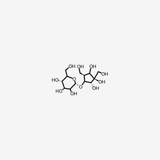 OCC1O[C@H](OC2[C@@H](CO)C(O)[C@](O)(CO)[C@@H]2O)C(O)[C@@H](O)[C@@H]1O